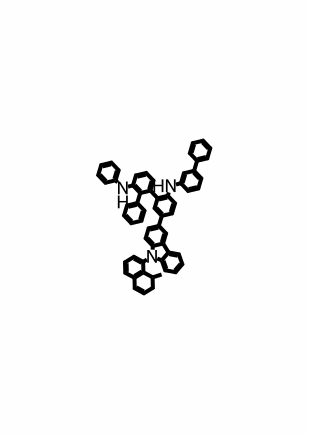 CC1CC=Cc2cccc(-n3c4ccccc4c4cc(-c5ccc(Nc6cccc(-c7ccccc7)c6)c(-c6cccc(Nc7ccccc7)c6-c6ccccc6)c5)ccc43)c21